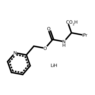 CC(C)C(NC(=O)OCc1ccccn1)C(=O)O.[LiH]